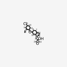 OC1(Cn2cnc3ccc(Oc4ccc(Cl)cc4F)cc32)COC1